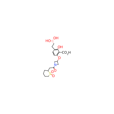 O=C(O)c1c(OC2CN(C(=O)CC3CCCCS3(=O)=O)C2)ccc(CCB(O)O)c1O